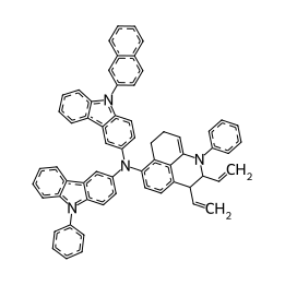 C=CC1c2ccc(N(c3ccc4c(c3)c3ccccc3n4-c3ccccc3)c3ccc4c(c3)c3ccccc3n4-c3ccc4ccccc4c3)c3c2C(=CCC3)N(c2ccccc2)C1C=C